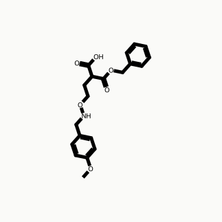 COc1ccc(CNOCCC(C(=O)O)C(=O)OCc2ccccc2)cc1